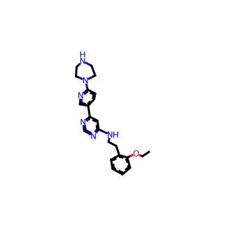 CCOc1ccccc1CCNc1cc(-c2ccc(N3CCNCC3)nc2)ncn1